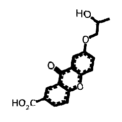 CC(O)COc1ccc2oc3ccc(C(=O)O)cc3c(=O)c2c1